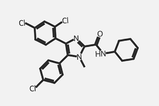 Cn1c(C(=O)NC2CC=CCC2)nc(-c2ccc(Cl)cc2Cl)c1-c1ccc(Cl)cc1